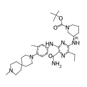 CCc1nc(C(N)=O)c(Nc2ccc(N3CCC4(CCN(C)CC4)CC3)c(C)c2)nc1N[C@@H]1CCCN(C(=O)OC(C)(C)C)C1